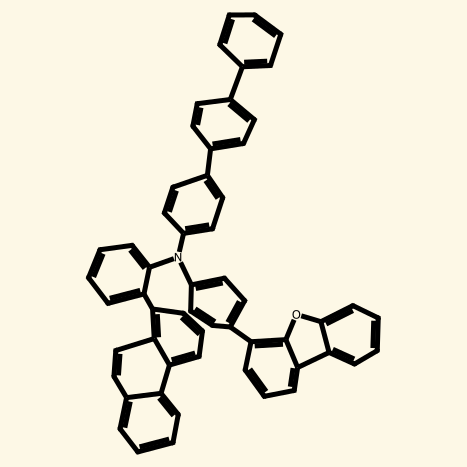 c1ccc(-c2ccc(-c3ccc(N(c4ccc(-c5cccc6c5oc5ccccc56)cc4)c4ccccc4-c4cccc5c4ccc4ccccc45)cc3)cc2)cc1